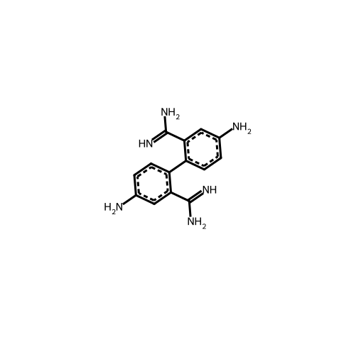 N=C(N)c1cc(N)ccc1-c1ccc(N)cc1C(=N)N